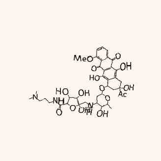 COc1cccc2c1C(=O)c1c(O)c3c(c(O)c1C2=O)CC(O)(C(C)=O)CC3OC1CC(NCC2(O)OC(C(=O)NCCCN(C)C)C(O)C2O)C(O)C(C)O1